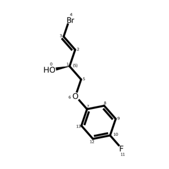 O[C@@H](C=CBr)COc1ccc(F)cc1